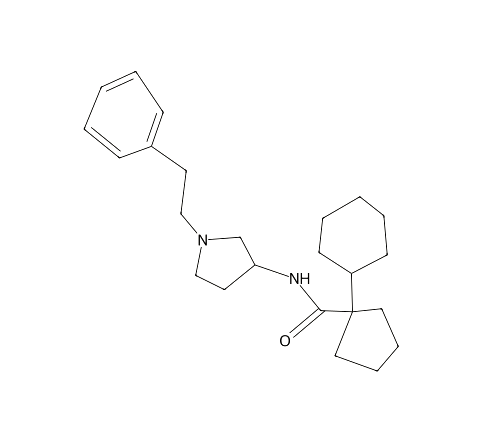 O=C(NC1CCN(CCc2ccccc2)C1)C1(C2CCCCC2)CCCC1